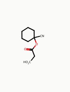 N#CC1(OC(=O)CC(=O)O)CCCCC1